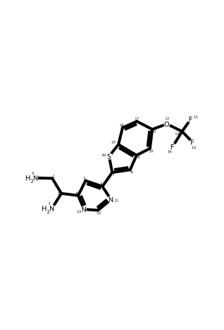 NCC(N)c1cc(-c2cc3cc(OC(F)(F)F)ccc3s2)ncn1